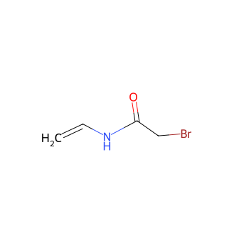 C=CNC(=O)CBr